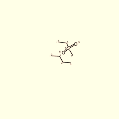 [CH2]CCC.[CH2]CS(C)(=O)=O